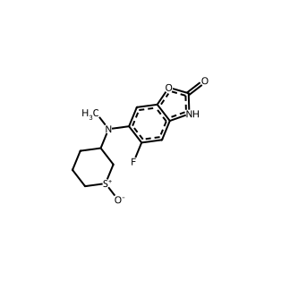 CN(c1cc2oc(=O)[nH]c2cc1F)C1CCC[S+]([O-])C1